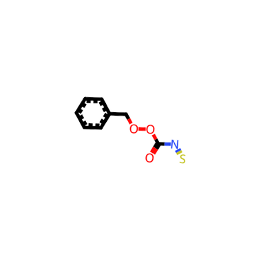 O=C(N=S)OOCc1ccccc1